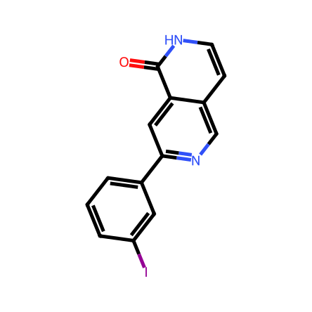 O=c1[nH]ccc2cnc(-c3cccc(I)c3)cc12